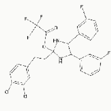 O=C(OC1(CCc2ccc(Cl)c(Cl)c2)NC(c2cccc(F)c2)C(c2cccc(F)c2)N1)C(F)(F)F